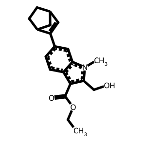 CCOC(=O)c1c(CO)n(C)c2cc(C3=CC4CCC3C4)ccc12